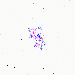 N[C@@H](Cc1c[nH]c2ccccc12)C(=O)N[C@@H](Cc1c[nH]c2ccccc12)C(=O)N[C@@H](Cc1c[nH]c2ccccc12)C(=O)N[C@@H](Cc1c[nH]c2ccccc12)C(=O)N[C@@H](Cc1c[nH]c2ccccc12)C(=O)N[C@@H](Cc1c[nH]c2ccccc12)C(=O)N[C@@H](Cc1c[nH]c2ccccc12)C(=O)N[C@@H](Cc1c[nH]c2ccccc12)C(=O)N[C@@H](Cc1c[nH]c2ccccc12)C(=O)O